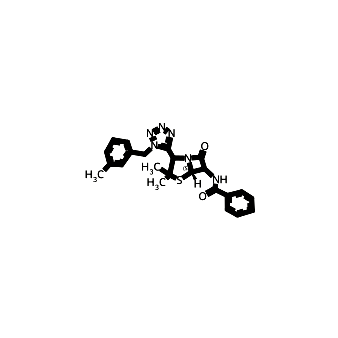 Cc1cccc(Cn2nnnc2C2N3C(=O)C(NC(=O)c4ccccc4)[C@@H]3SC2(C)C)c1